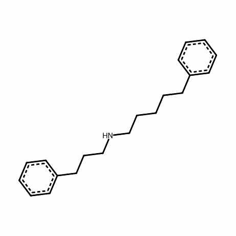 c1ccc(CCCCCNCCCc2ccccc2)cc1